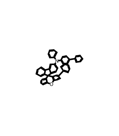 c1ccc(-c2ccc(N(c3ccccc3)c3ccc4c(c3)-c3ccccc3C43c4ccccc4Oc4ccc(-c5ccccc5)cc43)cc2)cc1